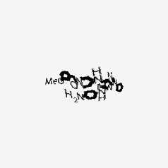 COc1cccc(CC(=O)N2CCC(Nc3nc(N[C@H]4CC[C@H](N)CC4)nc4c3ncn4C3CCCC3)CC2)c1